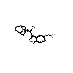 CN1C2CCC1CN(C(=O)c1n[nH]c3ccc(OC(F)(F)F)cc13)C2